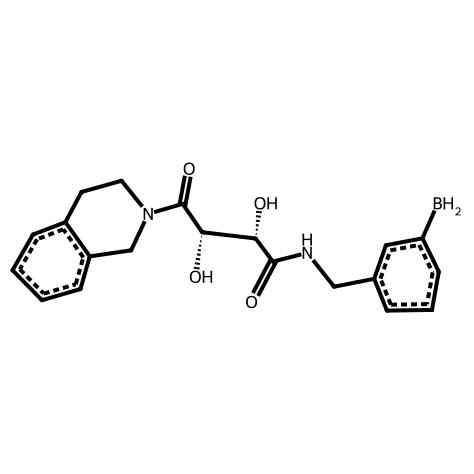 Bc1cccc(CNC(=O)[C@@H](O)[C@H](O)C(=O)N2CCc3ccccc3C2)c1